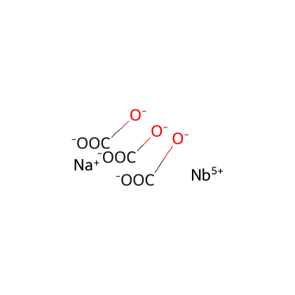 O=C([O-])[O-].O=C([O-])[O-].O=C([O-])[O-].[Na+].[Nb+5]